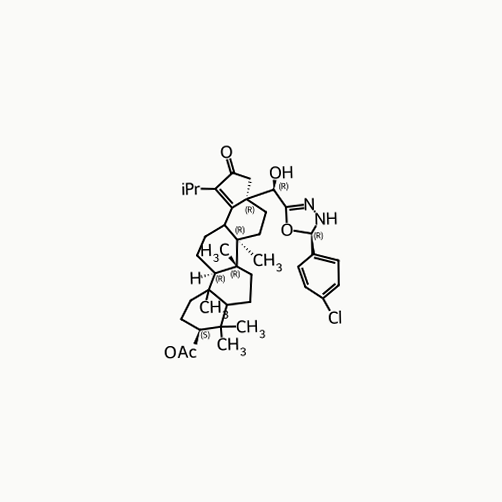 CC(=O)O[C@H]1CCC2(C)C(CC[C@]3(C)[C@@H]2CCC2C4=C(C(C)C)C(=O)C[C@]4([C@@H](O)C4=NN[C@@H](c5ccc(Cl)cc5)O4)CC[C@]23C)C1(C)C